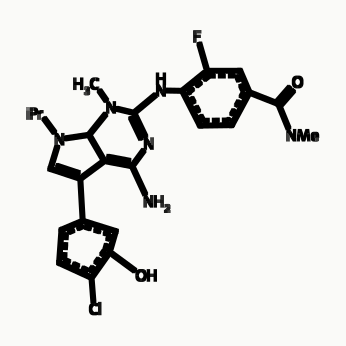 CNC(=O)c1ccc(NC2=NC(N)=C3C(c4ccc(Cl)c(O)c4)=CN(C(C)C)C3N2C)c(F)c1